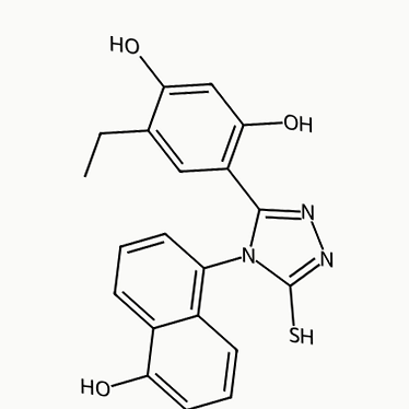 CCc1cc(-c2nnc(S)n2-c2cccc3c(O)cccc23)c(O)cc1O